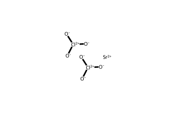 [O-][Cl+2]([O-])[O-].[O-][Cl+2]([O-])[O-].[Sr+2]